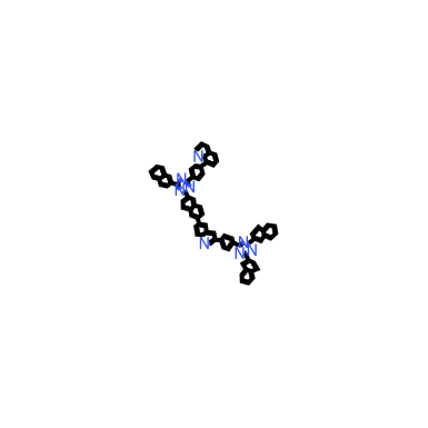 c1ccc2cc(-c3nc(-c4ccc(-c5cnc6ccc(-c7ccc8cc(-c9nc(-c%10ccc(-c%11cccc%12cccnc%11%12)cc%10)nc(-c%10ccc%11ccccc%11c%10)n9)ccc8c7)cc6c5)cc4)nc(-c4ccc5ccccc5c4)n3)ccc2c1